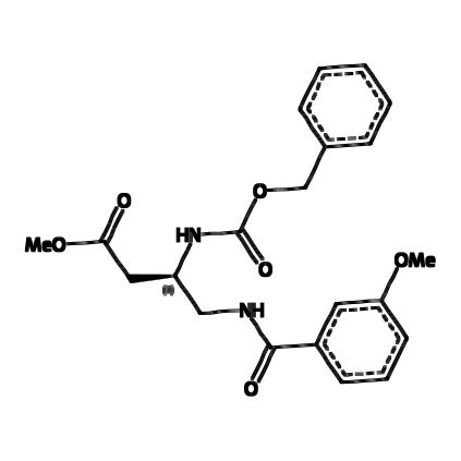 COC(=O)C[C@H](CNC(=O)c1cccc(OC)c1)NC(=O)OCc1ccccc1